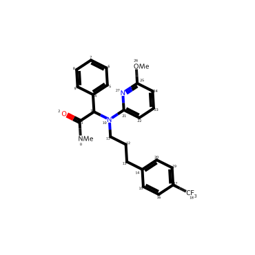 CNC(=O)C(c1ccccc1)N(CCCc1ccc(C(F)(F)F)cc1)c1cccc(OC)n1